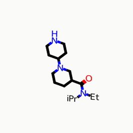 CCN(C(=O)C1CCCN(C2CCNCC2)C1)C(C)C